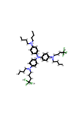 CCCCN(CCCC)c1ccc(N(c2ccc(N(CCCC)CCCC(F)(F)F)cc2)c2ccc(N(CCCC)CCCC(F)(F)F)cc2)cc1